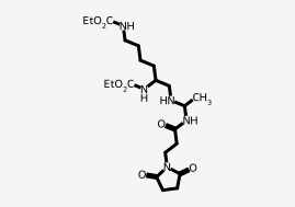 CCOC(=O)NCCCCC(CNC(C)NC(=O)CCN1C(=O)CCC1=O)NC(=O)OCC